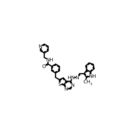 Cc1[nH]c2ccccc2c1C=NNc1ncnc2sc(Cc3cccc(C(=O)NCc4cccnc4)c3)cc12